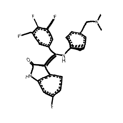 CN(C)Cc1ccc(NC(=C2C(=O)Nc3cc(F)ccc32)c2cc(F)c(F)c(F)c2)cc1